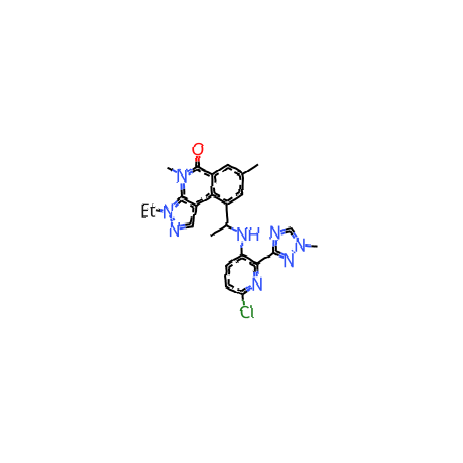 CCn1ncc2c3c(C(C)Nc4ccc(Cl)nc4-c4ncn(C)n4)cc(C)cc3c(=O)n(C)c21